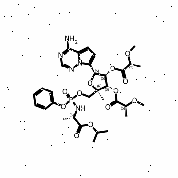 CO[C@@H](C)C(=O)O[C@H]1[C@H](c2ccc3c(N)ncnn23)O[C@](C)(COP(=O)(N[C@@H](C)C(=O)OC(C)C)Oc2ccccc2)[C@H]1OC(=O)[C@H](C)OC